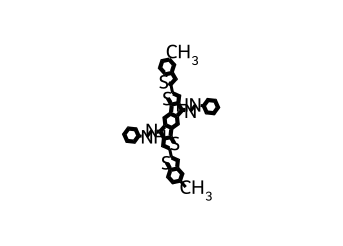 Cc1ccc2sc(-c3cc4/c(=N\Nc5ccccc5)c5cc6c(cc5c4s3)/c(=N/Nc3ccccc3)c3cc(-c4cc5cc(C)ccc5s4)sc36)cc2c1